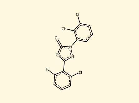 O=c1oc(-c2c(F)cccc2Cl)nn1-c1cccc(Cl)c1Cl